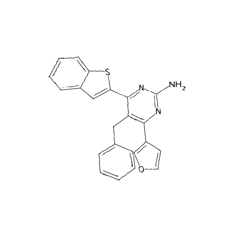 Nc1nc(-c2ccoc2)c(Cc2ccccc2)c(-c2cc3ccccc3s2)n1